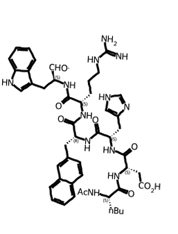 CCCC[C@H](NC(C)=O)C(=O)N[C@@H](CC(=O)O)C(=O)N[C@@H](Cc1c[nH]cn1)C(=O)N[C@H](Cc1ccc2ccccc2c1)C(=O)N[C@@H](CCCNC(=N)N)C(=O)N[C@H]([C]=O)Cc1c[nH]c2ccccc12